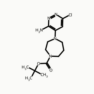 CC(C)(C)OC(=O)N1CCCN(c2cc(Cl)nnc2N)CC1